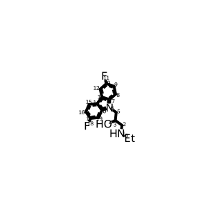 CCNCC(O)Cn1c2ccc(F)cc2c2ccc(F)cc21